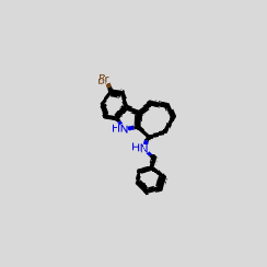 Brc1ccc2[nH]c3c(c2c1)CCCCC3NCc1ccccc1